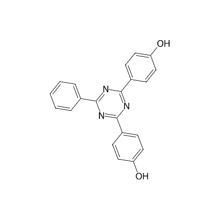 Oc1ccc(-c2nc(-c3ccccc3)nc(-c3ccc(O)cc3)n2)cc1